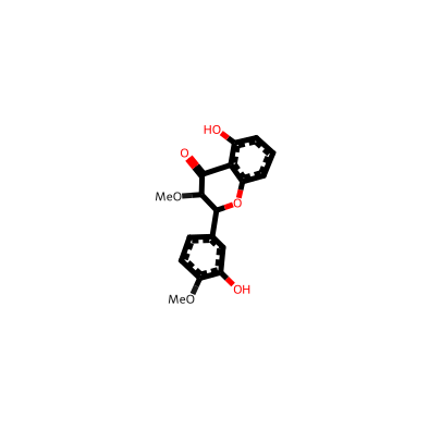 COc1ccc(C2Oc3cccc(O)c3C(=O)C2OC)cc1O